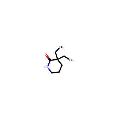 CCC1(CC)CCCNC1=O